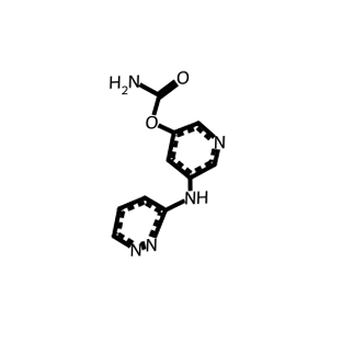 NC(=O)Oc1cncc(Nc2cccnn2)c1